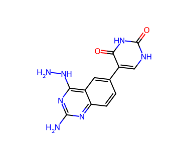 NNc1nc(N)nc2ccc(-c3c[nH]c(=O)[nH]c3=O)cc12